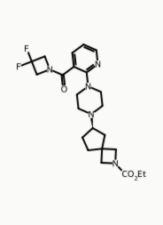 CCOC(=O)N1CC2(CC[C@@H](N3CCN(c4ncccc4C(=O)N4CC(F)(F)C4)CC3)C2)C1